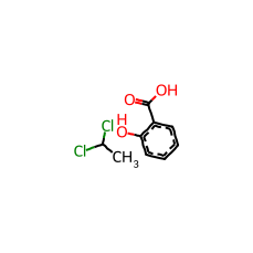 CC(Cl)Cl.O=C(O)c1ccccc1O